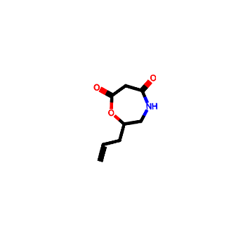 C=CCC1CNC(=O)CC(=O)O1